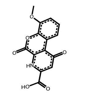 COc1cccc2c1oc(=O)c1[nH]c(C(=O)O)cc(=O)c12